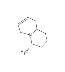 C[C@H]1CCCC2CC=CCN21